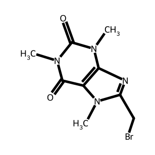 Cn1c(=O)c2c(nc(CBr)n2C)n(C)c1=O